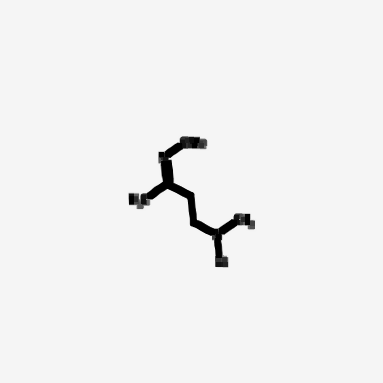 CCN(C)CC/C(C)=N\OC